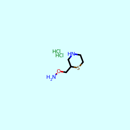 Cl.Cl.NOCC1CNCCS1